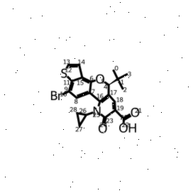 CC(C)(C)[C@@H]1Oc2c(cc(Br)c3sccc23)-c2c1cc(C(=O)O)c(=O)n2C1CC1